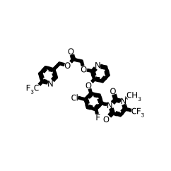 Cn1c(C(F)(F)F)cc(=O)n(-c2cc(Oc3cccnc3OCC(=O)OCc3ccc(C(F)(F)F)nc3)c(Cl)cc2F)c1=O